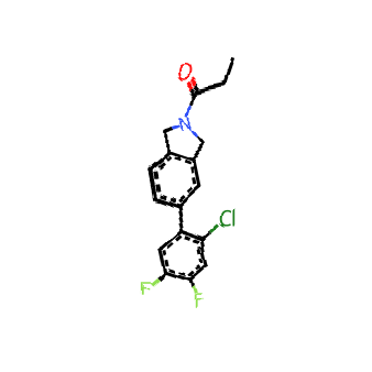 CCC(=O)N1Cc2ccc(-c3cc(F)c(F)cc3Cl)cc2C1